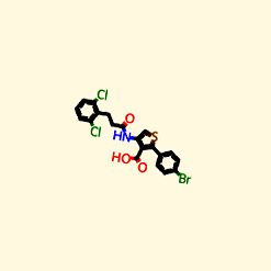 O=C(CCc1c(Cl)cccc1Cl)Nc1csc(-c2ccc(Br)cc2)c1C(=O)O